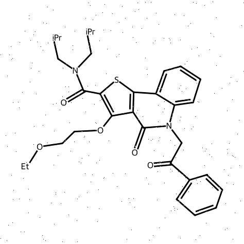 CCOCCOc1c(C(=O)N(CC(C)C)CC(C)C)sc2c1c(=O)n(CC(=O)c1ccccc1)c1ccccc21